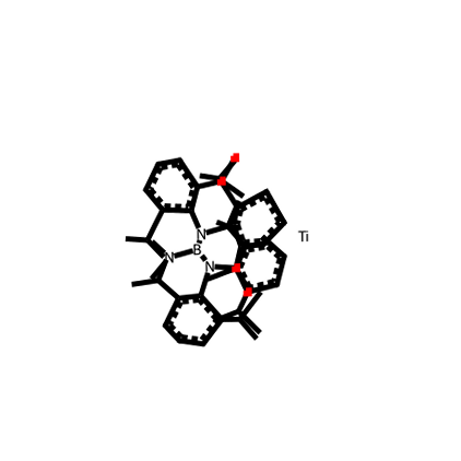 CC(C)c1cccc(C(C)C)c1N(B(N(C)C)N(c1c(C(C)C)cccc1C(C)C)c1c(C(C)C)cccc1C(C)C)c1c(C(C)C)cccc1C(C)C.[Ti]